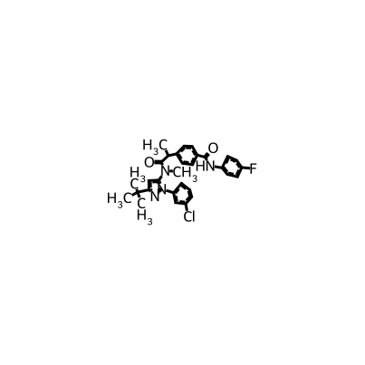 CC(C(=O)N(C)c1cc(C(C)(C)C)nn1-c1cccc(Cl)c1)c1ccc(C(=O)Nc2ccc(F)cc2)cc1